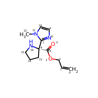 C=CCOC(=O)[C@]1(c2nccn2C)CCCN1